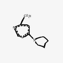 O=C(O)c1cc(N2CCCC2)ncn1